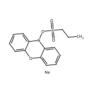 CCCS(=O)(=O)ON1c2ccccc2Oc2ccccc21.[Na]